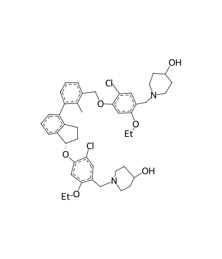 CCOc1cc(OCc2cccc(-c3cccc4c3CC[C@@H]4Oc3cc(OCC)c(CN4CCC(O)CC4)cc3Cl)c2C)c(Cl)cc1CN1CCC(O)CC1